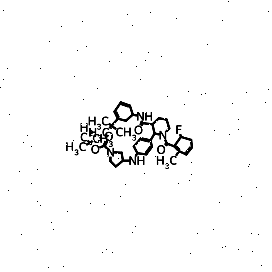 CC1=C(C(=O)N2CCCC(C(=O)NC3C=CC=C(C(C)(C)C)C3)C2C2=CCC(NC3CCN(C(=O)OC(C)(C)C)C3)C=C2)C(F)CC=C1